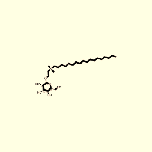 CCCCCCCCCCCCCCCCCC[Si](C)(C)CCO[C@H]1O[C@H](CO)[C@@H](O)[C@H](O)[C@H]1O